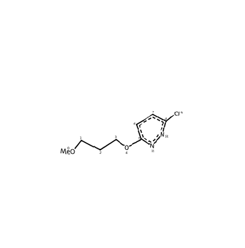 COCCCOc1ccc(Cl)nn1